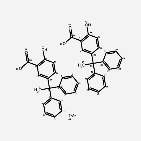 CC(c1ccccc1)(c1ccccc1)c1ccc(O)c(C(=O)[O-])c1.CC(c1ccccc1)(c1ccccc1)c1ccc(O)c(C(=O)[O-])c1.[Zn+2]